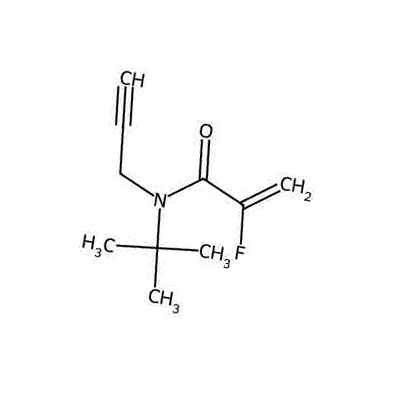 C#CCN(C(=O)C(=C)F)C(C)(C)C